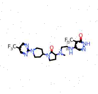 C[C@@H](CN(C)C1CCN(C2CCN(c3ncc(C(F)(F)F)cn3)CC2)C1=O)Nc1cn[nH]c(=O)c1C(F)(F)F